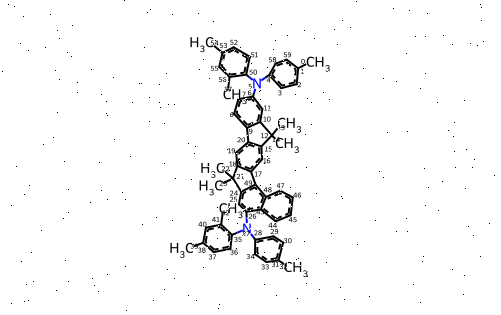 Cc1ccc(N(c2ccc3c(c2)C(C)(C)c2cc4c(cc2-3)C(C)(C)c2cc(N(c3ccc(C)cc3)c3ccc(C)cc3C)c3ccccc3c2-4)c2ccc(C)cc2C)cc1